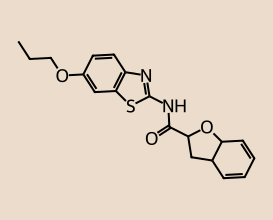 CCCOc1ccc2nc(NC(=O)C3CC4C=CC=CC4O3)sc2c1